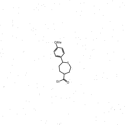 CCC(=O)N1CCSC(c2ccc(OC)cc2)CC1